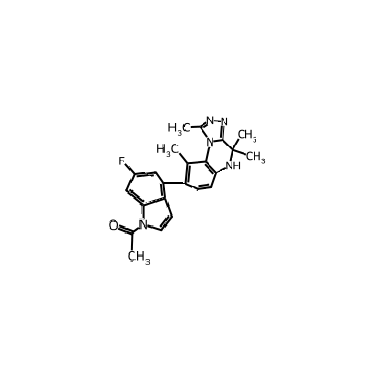 CC(=O)n1ccc2c(-c3ccc4c(c3C)-n3c(C)nnc3C(C)(C)N4)cc(F)cc21